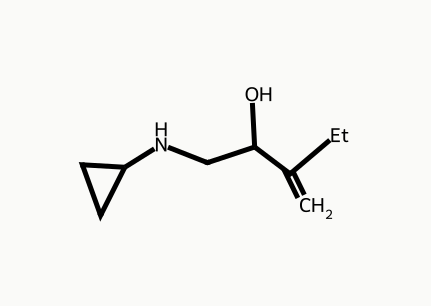 C=C(CC)C(O)CNC1CC1